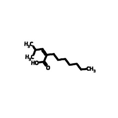 CCCCCCCC(=CC(C)C)C(=O)O